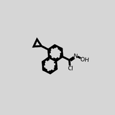 O/N=C(\Cl)c1ccc(C2CC2)c2ccccc12